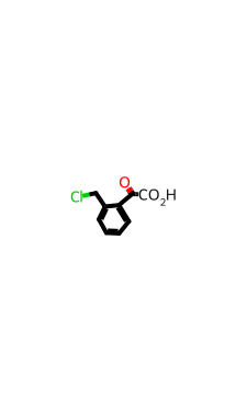 O=C(O)C(=O)c1ccccc1CCl